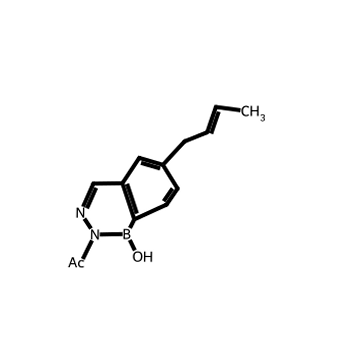 C/C=C/Cc1ccc2c(c1)C=NN(C(C)=O)B2O